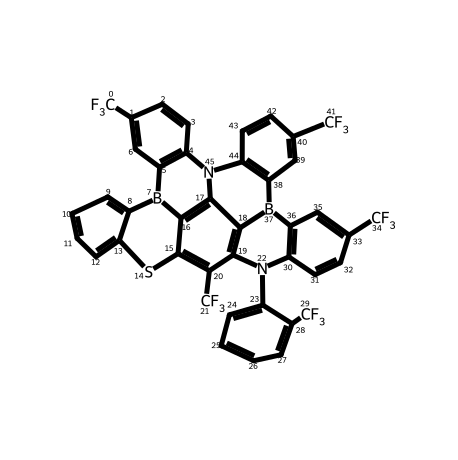 FC(F)(F)c1ccc2c(c1)B1c3ccccc3Sc3c1c1c4c(c3C(F)(F)F)N(c3ccccc3C(F)(F)F)c3ccc(C(F)(F)F)cc3B4c3cc(C(F)(F)F)ccc3N21